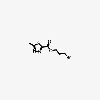 Cc1nnc(C(=O)OCCCBr)s1